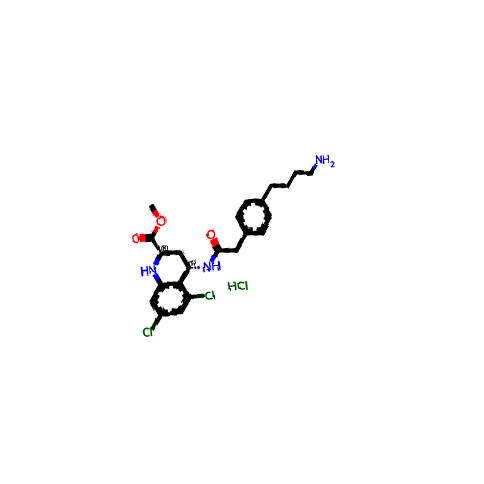 COC(=O)[C@H]1C[C@H](NC(=O)Cc2ccc(CCCCN)cc2)c2c(Cl)cc(Cl)cc2N1.Cl